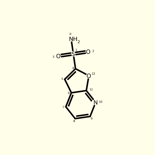 NS(=O)(=O)c1cc2cccnc2o1